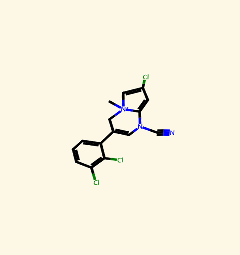 C[N+]12C=C(Cl)C=C1N(C#N)C=C(c1cccc(Cl)c1Cl)C2